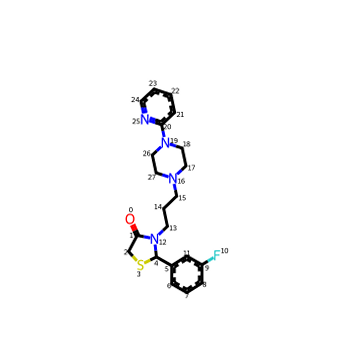 O=C1CSC(c2cccc(F)c2)N1CCCN1CCN(c2ccccn2)CC1